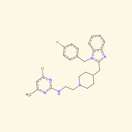 Cc1cc(Cl)nc(NCCN2CCC(Cc3nc4ccccc4n3Cc3ccc(F)cc3)CC2)n1